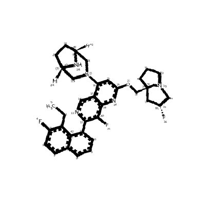 CCc1c(F)ccc2cccc(-c3ncc4c(N5C[C@H]6CC[C@@H](C5)N6)cc(OC[C@@]56CCCN5C[C@H](F)C6)nc4c3F)c12